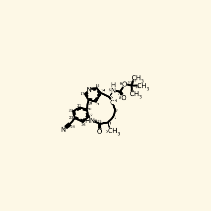 C[C@@H]1CCC[C@H](NC(=O)OC(C)(C)C)c2cncc(c2)-c2ccc(C#N)cc2NC1=O